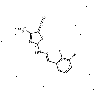 CC1=NC(NN=Cc2cccc(F)c2F)SC1=C=O